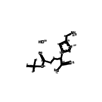 CC(C)(C)OC(=O)CCC(C(=O)O)n1cnc(CN)c1.Cl